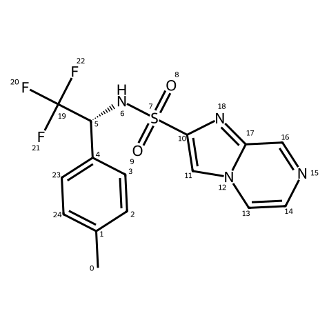 Cc1ccc([C@@H](NS(=O)(=O)c2cn3ccncc3n2)C(F)(F)F)cc1